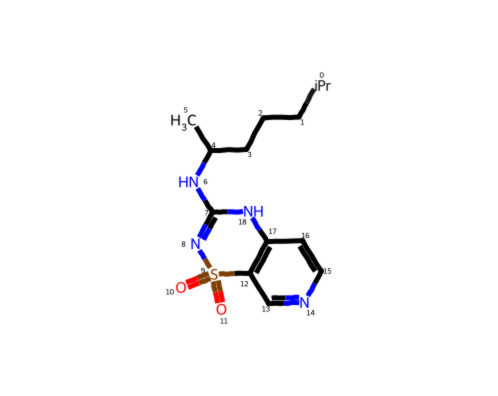 CC(C)CCCC(C)NC1=NS(=O)(=O)c2cnccc2N1